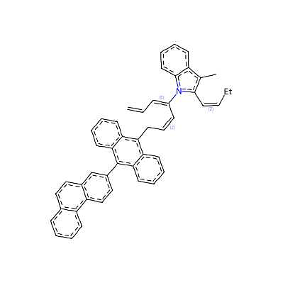 C=C/C=C(\C=C/Cc1c2ccccc2c(-c2ccc3c(ccc4ccccc43)c2)c2ccccc12)n1c(/C=C\CC)c(C)c2ccccc21